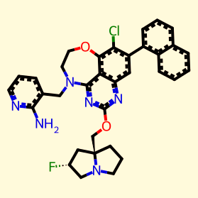 Nc1ncccc1CN1CCOc2c(Cl)c(-c3cccc4ccccc34)cc3nc(OC[C@@]45CCCN4C[C@H](F)C5)nc1c23